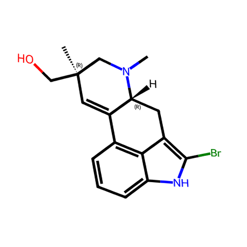 CN1C[C@](C)(CO)C=C2c3cccc4[nH]c(Br)c(c34)C[C@H]21